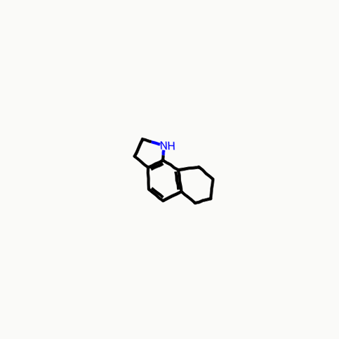 c1cc2c(c3c1CCCC3)NCC2